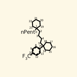 CCCCCC1(CCCCC2(c3ccc(C(F)(F)F)cc3)CCCCC2)CCCCC1